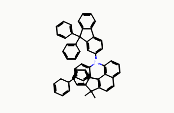 CC1(C)c2ccccc2-c2c1ccc1cccc(N(c3ccc(C4C=CC=CC4)cc3)c3ccc4c(c3)C(c3ccccc3)(c3ccccc3)c3ccccc3-4)c21